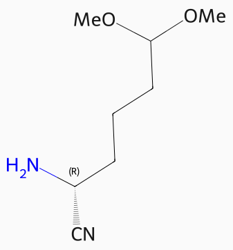 COC(CCC[C@@H](N)C#N)OC